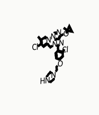 Cc1cnc(Cn2c(-c3ccc(OCCN4CCNCC4)cc3Cl)nc3c(OC4(C)CC4)ncnc32)cc1Cl